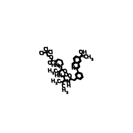 CC(C)[C@H](NC(=O)Cc1cccc(-c2cc3cc([C@@H](C)O)ccc3cn2)c1)C(=O)N[C@@H](C)C(=O)N1CCC[C@@H](C(=O)OCC(Cl)(Cl)Cl)N1